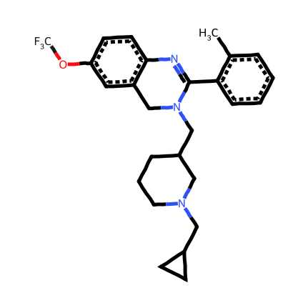 Cc1ccccc1C1=Nc2ccc(OC(F)(F)F)cc2CN1CC1CCCN(CC2CC2)C1